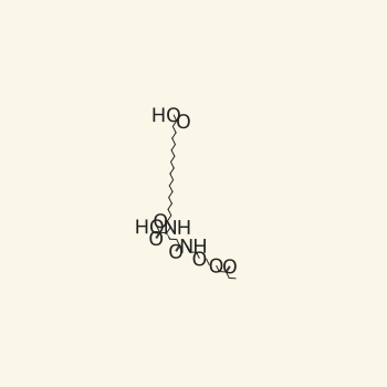 CCC(=O)COCCOCCNC(=O)CC[C@H](NC(=O)CCCCCCCCCCCCCCCCC(=O)O)C(=O)O